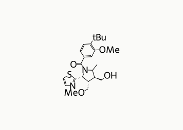 COC[C@H]1[C@H](CO)C(C)N(C(=O)c2ccc(C(C)(C)C)c(OC)c2)[C@H]1c1nccs1